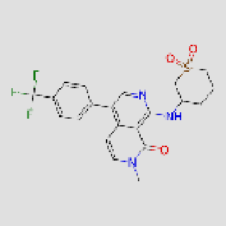 Cn1ccc2c(-c3ccc(C(F)(F)F)cc3)cnc(NC3CCCS(=O)(=O)C3)c2c1=O